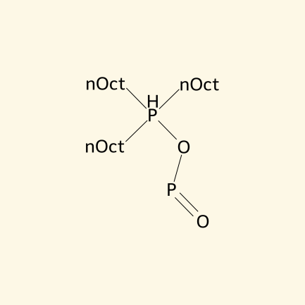 CCCCCCCC[PH](CCCCCCCC)(CCCCCCCC)OP=O